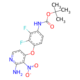 CC(C)(C)OC(=O)Nc1ccc(Oc2ccnc(N)c2[N+](=O)[O-])c(F)c1F